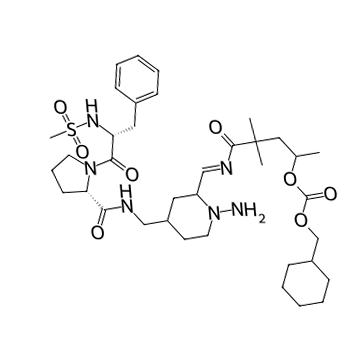 CC(CC(C)(C)C(=O)/N=C/C1CC(CNC(=O)[C@@H]2CCCN2C(=O)[C@@H](Cc2ccccc2)NS(C)(=O)=O)CCN1N)OC(=O)OCC1CCCCC1